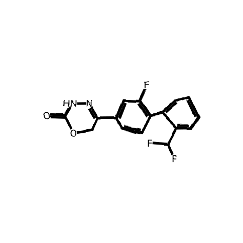 O=C1NN=C(c2ccc(-c3ccccc3C(F)F)c(F)c2)CO1